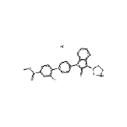 COC(=O)c1ccc(-c2ccc(-n3c(=O)n([C@H]4CCNC4)c4ncccc43)cc2)c(O)c1.Cl